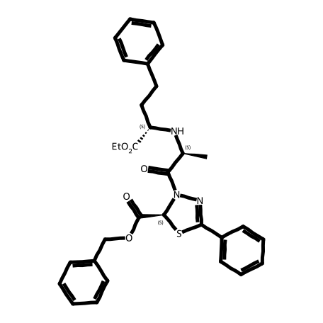 CCOC(=O)[C@H](CCc1ccccc1)N[C@@H](C)C(=O)N1N=C(c2ccccc2)S[C@H]1C(=O)OCc1ccccc1